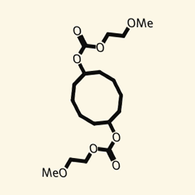 COCCOC(=O)OC1CCCCC(OC(=O)OCCOC)CCCC1